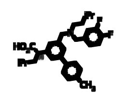 Cc1ccc(-c2cc(CN(CCC(C)C)Cc3ccc(F)c(F)c3)cc([C@@H](CC(C)C)C(=O)O)c2)cc1